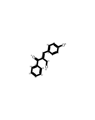 O=C(/C(=C/c1ccc(Cl)cc1)CCl)c1ccccc1